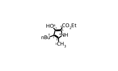 CCCCc1c(C)[nH]c(C(=O)OCC)c1O